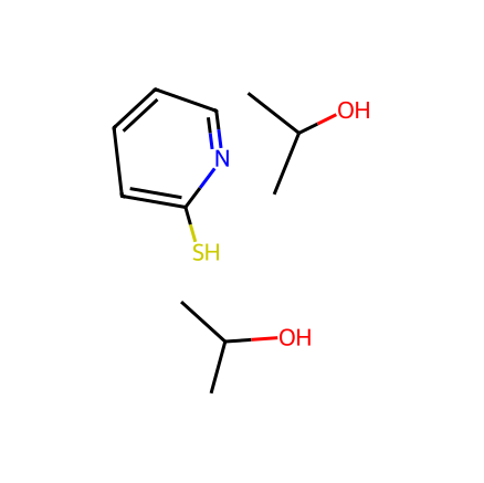 CC(C)O.CC(C)O.Sc1ccccn1